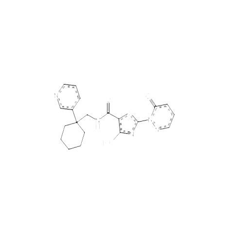 O=C(NCC1(c2cccnc2)CCCCC1)c1sc(-n2ncccc2=O)nc1C(F)(F)F